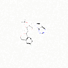 CC1(C)O[C@H]2[C@@H](O1)[C@H](n1ccc3c(Cl)ncnc31)O[C@@H]2[C@@H]1OC[C@H](F)c2cc(Cl)ccc21